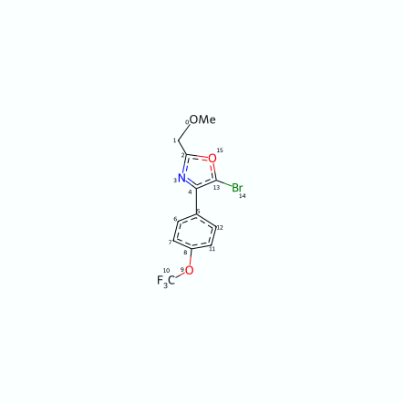 COCc1nc(-c2ccc(OC(F)(F)F)cc2)c(Br)o1